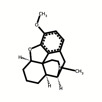 COc1ccc2c3c1O[C@@H]1CCC[C@@H]4[C@H](C2)N(C)CCC341